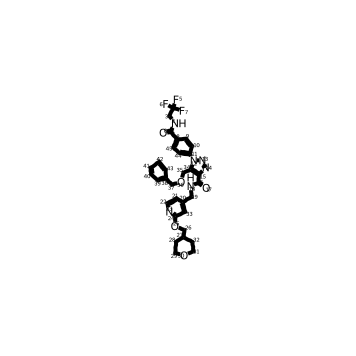 O=C(NCC(F)(F)F)c1ccc(-n2nnc(C(=O)NCc3ccnc(OCC4CCOCC4)c3)c2COCc2ccccc2)cc1